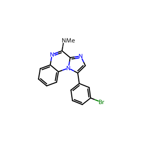 CNc1nc2ccccc2n2c(-c3cccc(Br)c3)cnc12